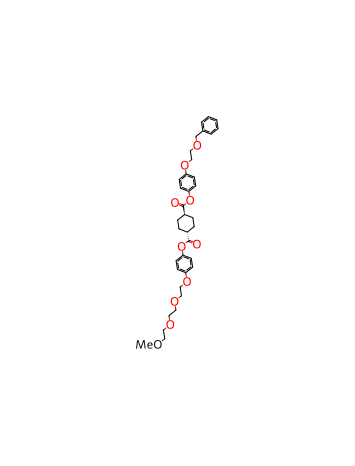 COCCOCCOCCOc1ccc(OC(=O)[C@H]2CC[C@H](C(=O)Oc3ccc(OCCOCc4ccccc4)cc3)CC2)cc1